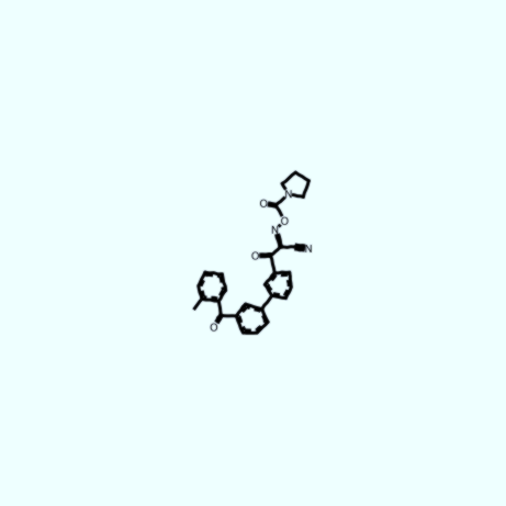 Cc1ccccc1C(=O)c1cccc(-c2cccc(C(=O)/C(C#N)=N/OC(=O)N3CCCC3)c2)c1